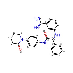 N=C(N)c1cccc(N[C@H](C(=O)Nc2ccc(N3CCCCC3=O)cc2)c2ccccc2)c1